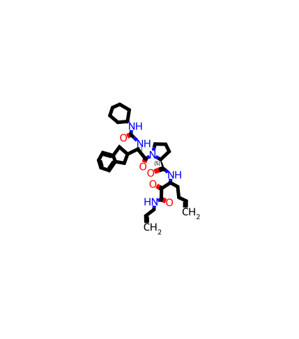 C=CCCC(NC(=O)[C@@H]1CCCN1C(=O)[C@@H](NC(=O)NC1CCCCC1)C1Cc2ccccc2C1)C(=O)C(=O)NCC=C